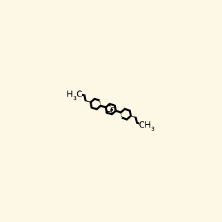 CCC[C@H]1CC[C@H](C23CCC([C@H]4CC[C@H](CCC)CC4)(CC2)CC3)CC1